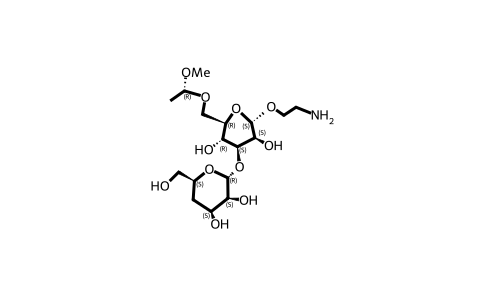 CO[C@@H](C)OC[C@H]1O[C@H](OCCN)[C@@H](O)[C@@H](O[C@H]2O[C@H](CO)C[C@H](O)[C@@H]2O)[C@@H]1O